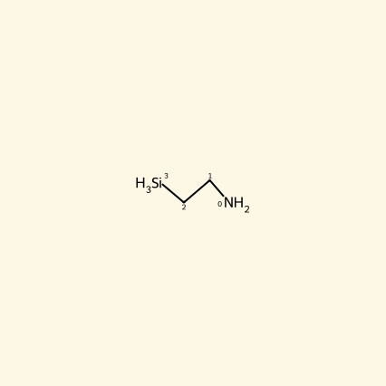 NCC[SiH3]